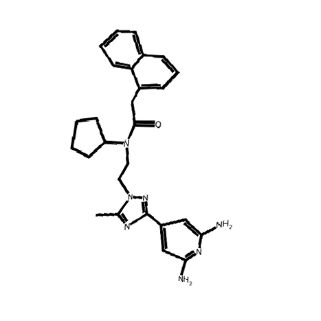 Cc1nc(-c2cc(N)nc(N)c2)nn1CCN(C(=O)Cc1cccc2ccccc12)C1CCCC1